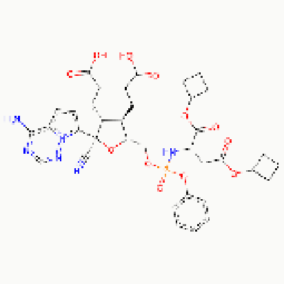 N#C[C@@]1(c2ccc3c(N)ncnn23)O[C@@H](COP(=O)(N[C@@H](CC(=O)OC2CCC2)C(=O)OC2CCC2)Oc2ccccc2)[C@H](CCC(=O)O)[C@H]1CCC(=O)O